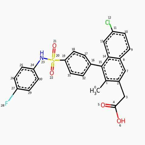 Cc1c(CC(=O)O)cc2ccc(Cl)cc2c1-c1ccc(S(=O)(=O)Nc2ccc(F)cc2)cc1